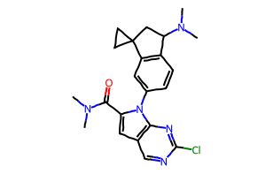 CN(C)C(=O)c1cc2cnc(Cl)nc2n1-c1ccc2c(c1)C1(CC1)CC2N(C)C